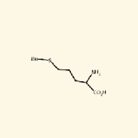 CCC(C)SCCCC(N)C(=O)O